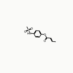 CC=CC(=O)Oc1ccc(NS(C)(=O)=O)cc1